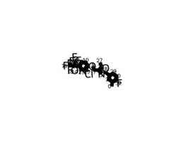 Cc1cc(-c2nc(COc3ccc(C(O)(C(F)(F)F)C(F)(F)F)cc3Cl)c(C)o2)ccc1F